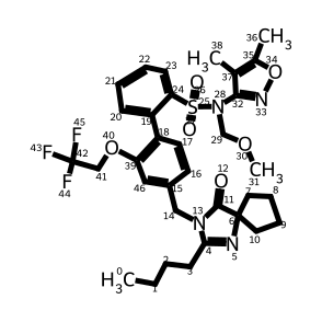 CCCCC1=NC2(CCCC2)C(=O)N1Cc1ccc(-c2ccccc2S(=O)(=O)N(COC)c2noc(C)c2C)c(OCC(F)(F)F)c1